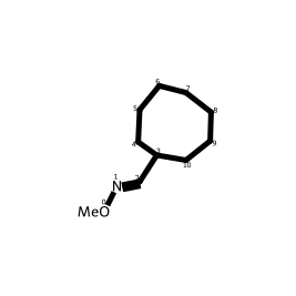 CO/N=C/C1CCCCCCC1